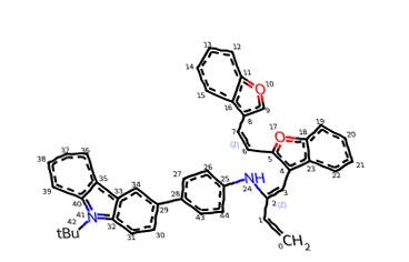 C=C/C(=C/c1c(/C=C\c2coc3ccccc23)oc2ccccc12)Nc1ccc(-c2ccc3c(c2)c2ccccc2n3C(C)(C)C)cc1